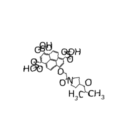 CC(C)C(=O)C1CCN(C(=O)COc2cc(S(=O)(=O)O)c3ccc4c(S(=O)(=O)O)cc(S(=O)(=O)O)c5ccc2c3c54)CC1